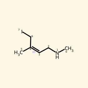 CNC/C=C(/C)CI